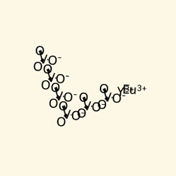 [Eu+3].[O]=[V](=[O])[O-].[O]=[V](=[O])[O-].[O]=[V](=[O])[O-].[O]=[V](=[O])[O-].[O]=[V](=[O])[O-].[O]=[V](=[O])[O-].[Y+3]